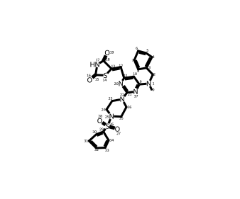 CN(Cc1ccccc1)c1cc(/C=C2\SC(=O)NC2=O)nc(N2CCN(S(=O)(=O)c3ccccc3)CC2)n1